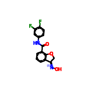 O=C(Nc1ccc(F)c(F)c1)c1cccc2c1OC/C2=N\O